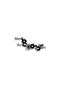 COc1ccc(C[C@@H](COC(C)=O)N(C)S(=O)(=O)c2ccc(Cc3nccc4[nH]c(C)nc34)cc2)cc1